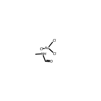 CNC=O.[Cl][Au]([Cl])[Cl]